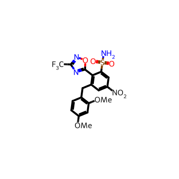 COc1ccc(Cc2cc([N+](=O)[O-])cc(S(N)(=O)=O)c2-c2nc(C(F)(F)F)no2)c(OC)c1